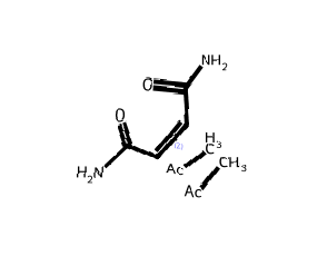 CC(C)=O.CC(C)=O.NC(=O)/C=C\C(N)=O